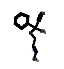 C#CC(C)(OC/C=C/C)c1ccccc1